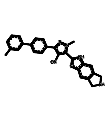 Cc1cccc(-c2ccc(-c3nn(C)c(-c4nc5cc6c(cc5[nH]4)CNC6)c3N=O)cc2)c1